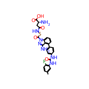 Cc1ccc(F)c(NC(=O)Nc2ccc(-c3cccc4c3c(N)nn4C(=O)SNC(=O)C[C@H](N)C(=O)O)cc2)c1